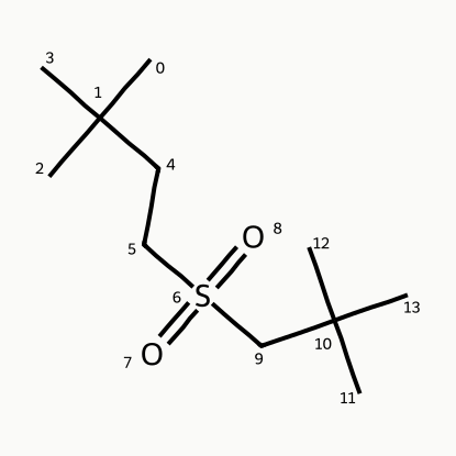 CC(C)(C)CCS(=O)(=O)CC(C)(C)C